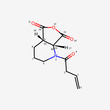 C=CCC(=O)N1CCC[C@@H]2C(=O)OC(=O)[C@@H]21